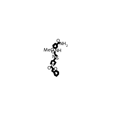 COc1ccc(C(N)=O)cc1NC(=O)c1csc(C2CCN(C(=O)c3cc4ccccc4o3)CC2)n1